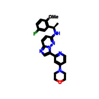 COc1ccc(F)cc1[C@@H](C)Nc1ccc2ncc(-c3cc(N4CCOCC4)ccn3)n2n1